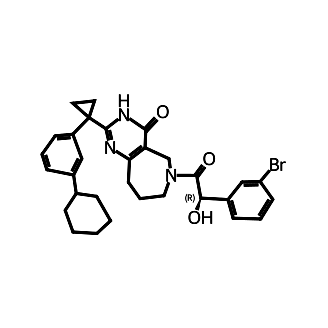 O=C([C@H](O)c1cccc(Br)c1)N1CCCc2nc(C3(c4cccc(C5CCCCC5)c4)CC3)[nH]c(=O)c2C1